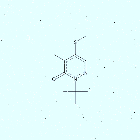 CSc1cnn(C(C)(C)C)c(=O)c1C